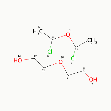 CC(Cl)OC(C)Cl.OCCOCCO